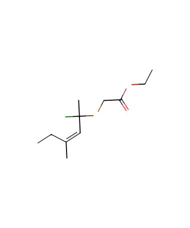 CCOC(=O)CSC(C)(F)/C=C(/C)CC